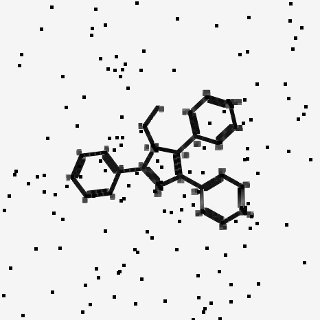 CCn1c(-c2ccccc2)nc(-c2ccncc2)c1-c1ccncc1